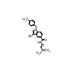 Cc1ccc(Sn2cc(Br)c3cc(C(=O)N/N=C/N(C)C)ccc32)cc1